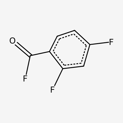 O=C(F)c1ccc(F)cc1F